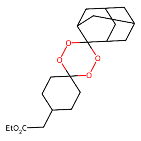 CCOC(=O)CC1CCC2(CC1)OOC1(OO2)C2CC3CC(C2)CC1C3